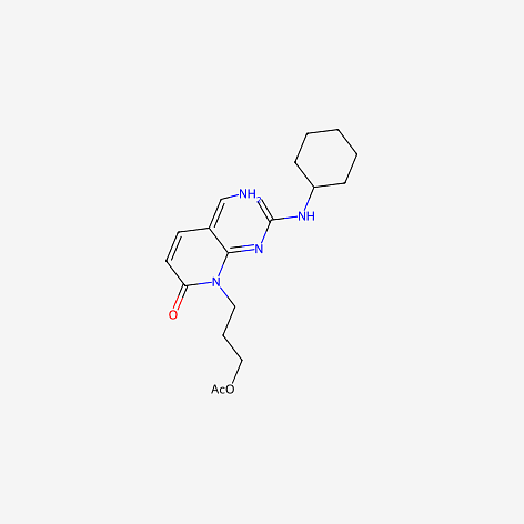 C=C(/N=C1\C(=C/N)C=CC(=O)N1CCCOC(C)=O)NC1CCCCC1